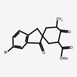 COC(=O)C1CC2(Cc3ccc(Br)cc3C2=O)CC(C)C1=O